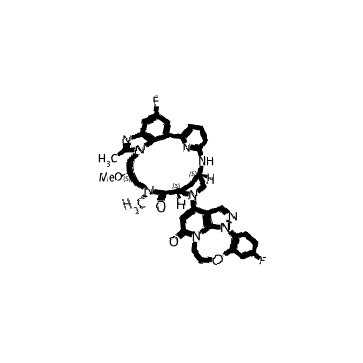 CO[C@H]1CN(C)C(=O)[C@@H]2C[C@@H](CN2c2cc(=O)n3c4c2cnn4-c2ccc(F)cc2OCC3)Nc2cccc(n2)-c2cc(F)cc3nc(C)n(c23)C1